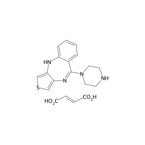 O=C(O)C=CC(=O)O.c1ccc2c(c1)Nc1cscc1N=C2N1CCNCC1